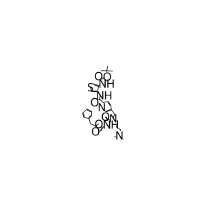 CN(C)CCCN(Cc1ccc(C(=O)Nc2cscc2NC(=O)OC(C)(C)C)nc1)C(=O)NC1=COC(Cc2ccccc2)O1